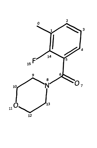 Cc1cccc(C(=O)N2CCOCC2)c1F